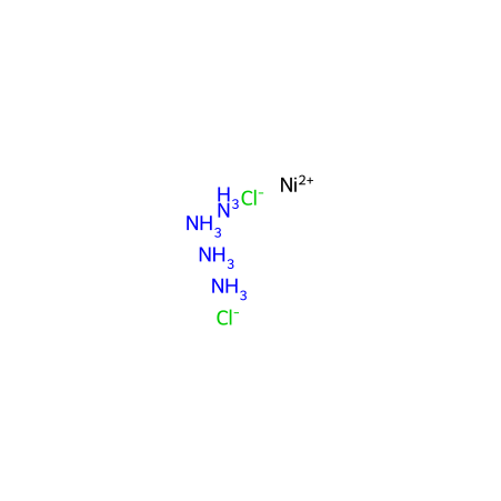 N.N.N.N.[Cl-].[Cl-].[Ni+2]